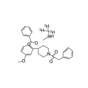 [2H]C([2H])([2H])NC[C@@H]1CN(S(=O)(=O)Cc2ccccc2)CC[C@@]1(OC(=O)c1ccccc1)c1cccc(OC)c1